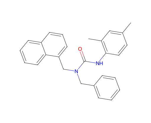 Cc1ccc(NC(=O)N(Cc2ccccc2)Cc2cccc3ccccc23)c(C)c1